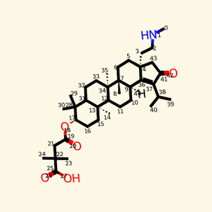 CNCC[C@@]12CC[C@]3(C)[C@H](CCC4[C@@]5(C)CC[C@H](OC(=O)CC(C)(C)C(=O)O)C(C)(C)C5CC[C@]43C)C1=C(C(C)C)C(=O)C2